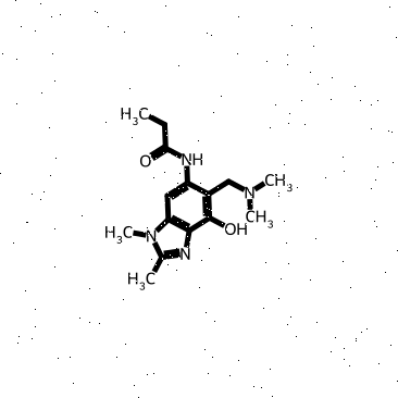 CCC(=O)Nc1cc2c(nc(C)n2C)c(O)c1CN(C)C